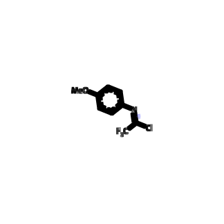 COc1ccc(/N=C(/Cl)C(F)(F)F)cc1